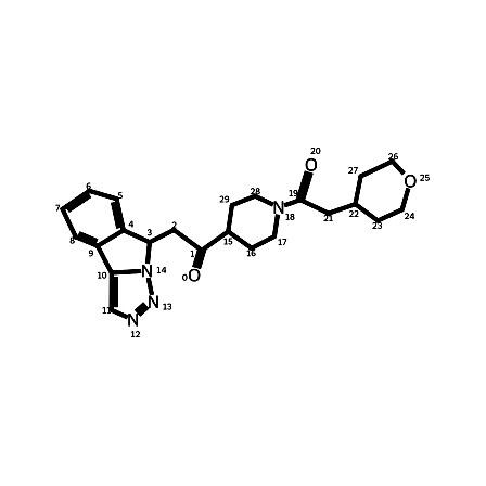 O=C(CC1c2ccccc2-c2cnnn21)C1CCN(C(=O)CC2CCOCC2)CC1